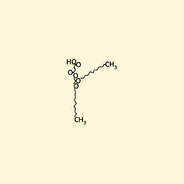 CCCCCCCCCCCCOCC(COC(=O)CCC(=O)O)OCCCCCCCCCCCC